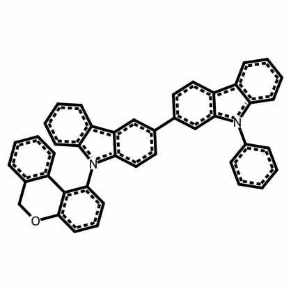 c1ccc(-n2c3ccccc3c3ccc(-c4ccc5c(c4)c4ccccc4n5-c4cccc5c4-c4ccccc4CO5)cc32)cc1